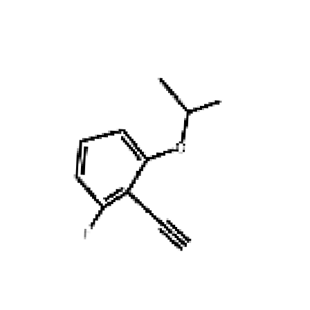 C#Cc1c(F)cccc1OC(C)C